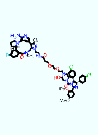 COc1ccc(C2=N[C@@H](c3ccc(Cl)cc3)[C@@H](c3ccc(Cl)cc3)N2C(=O)N2CCN(CCOCCOCCC(=O)NCCn3nc(C#N)c4c3CN(C)C(=O)c3ccc(F)cc3[C@H]3CCCN3c3cc-4cnc3N)C(O)C2)c(OC(C)C)c1